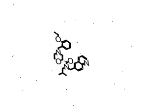 CCOc1ccccc1CN1CCO[C@@H](C(=O)N(Cc2ccc3ncccc3c2)CC(C)C)C1